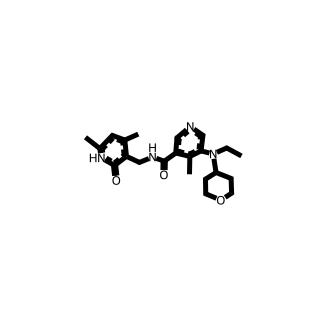 CCN(c1cncc(C(=O)NCc2c(C)cc(C)[nH]c2=O)c1C)C1CCOCC1